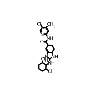 Cc1cc(NC(=O)C2C=C3NC(NC4C(Cl)CCCC4Cl)NC3CC2)ncc1Cl